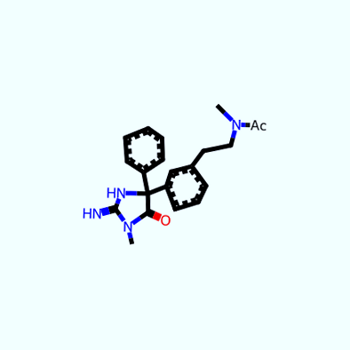 CC(=O)N(C)CCc1cccc(C2(c3ccccc3)NC(=N)N(C)C2=O)c1